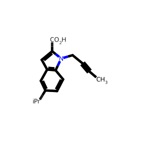 CC#CCn1c(C(=O)O)cc2cc(C(C)C)ccc21